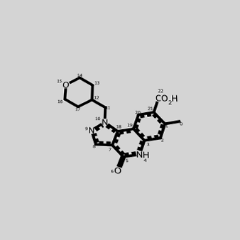 Cc1cc2[nH]c(=O)c3cnn(CC4CCOCC4)c3c2cc1C(=O)O